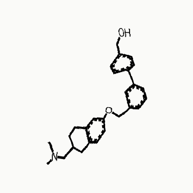 CN(C)CC1CCc2cc(OCc3cccc(-c4ccc(CO)cc4)c3)ccc2C1